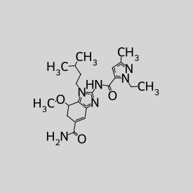 CCn1nc(C)cc1C(=O)Nc1nc2c(n1CCC(C)C)C(OC)CC(C(N)=O)=C2